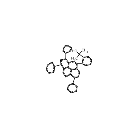 CC(C)(O)c1ccccc1-c1cc2c(-c3ccccc3)cc(-c3ccccc3)c3ccc4c(-c5ccccc5)ccc1c4c32